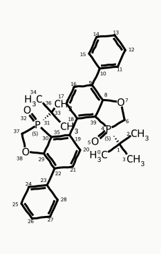 CC(C)(C)[P@@]1(=O)COc2c(-c3ccccc3)ccc(-c3ccc(-c4ccccc4)c4c3[P@@](=O)(C(C)(C)C)CO4)c21